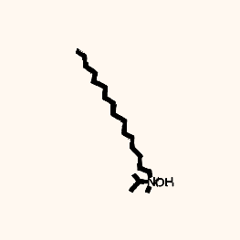 CCCCCCCCCCCCCCCC[N+](C)(O)C(C)C